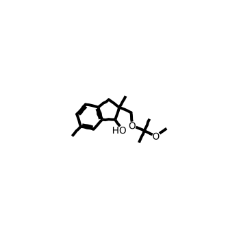 COC(C)(C)OCC1(C)Cc2ccc(C)cc2C1O